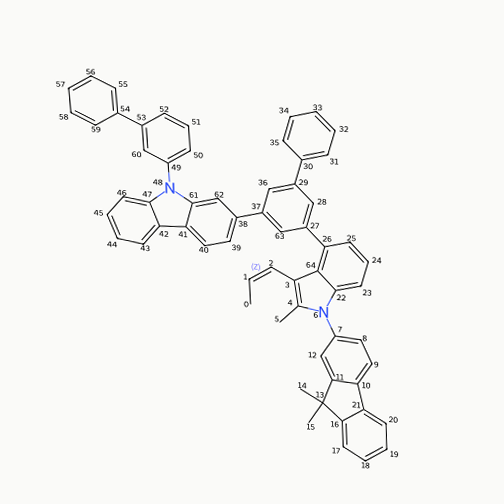 C/C=C\c1c(C)n(-c2ccc3c(c2)C(C)(C)c2ccccc2-3)c2cccc(-c3cc(-c4ccccc4)cc(-c4ccc5c6ccccc6n(-c6cccc(-c7ccccc7)c6)c5c4)c3)c12